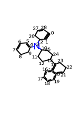 C1#CC(N(C2=CC=CCC2)C2CCC(C3=c4ccccc4=CCC3)CC2)CC=C1